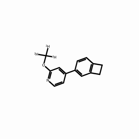 [2H]C([2H])([2H])Oc1cc(-c2ccc3c(c2)CC3)ccn1